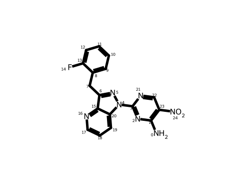 Nc1nc(-n2nc(Cc3ccccc3F)c3ncccc32)ncc1[N+](=O)[O-]